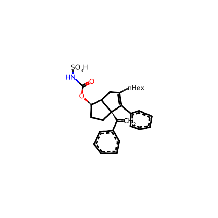 C=C(c1ccccc1)[C@@]12CC[C@@H](OC(=O)NS(=O)(=O)O)C1CC(CCCCCC)=C2c1ccccc1